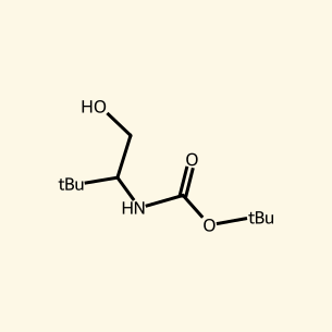 CC(C)(C)OC(=O)NC(CO)C(C)(C)C